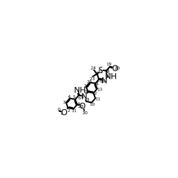 COc1ccc(C(=N)N2CCCc3cc(C4=NNC(C=O)SC4(C)C)ccc32)c(OC)c1